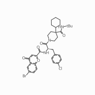 CC(C)(C)NC(=O)C1(C2CCCCC2)CCN(C(=O)[C@@H](Cc2ccc(Cl)cc2)NC(=O)c2cc(=O)c3cc(Br)ccc3o2)CC1